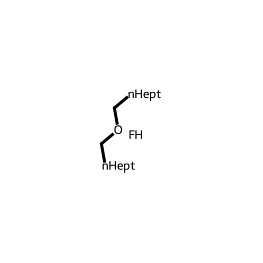 CCCCCCCCOCCCCCCCC.F